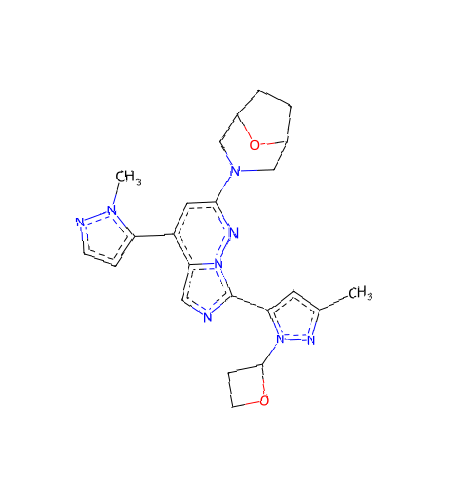 Cc1cc(-c2ncc3c(-c4ccnn4C)cc(N4CC5CCC(C4)O5)nn23)n(C2CCO2)n1